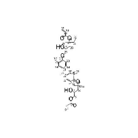 C=CC(=O)OCC(O)CC(C)(C)Oc1ccc(Cc2ccc(OCC(O)CC(C)(CC)OC(=O)C=C)c(C)c2)cc1C